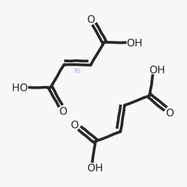 O=C(O)/C=C/C(=O)O.O=C(O)C=CC(=O)O